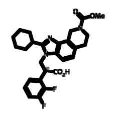 COC(=O)N1CCc2ccc3c(nc(C4CCCCC4)n3C[C@@H](C(=O)O)c3cccc(F)c3F)c2C1